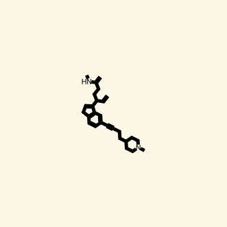 C=CC(CCC(=C)NC)C1=CCc2ccc(C#CCCC3CCN(C)CC3)cc21